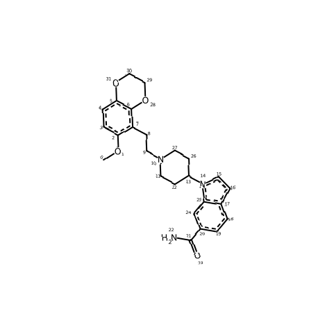 COc1ccc2c(c1CCN1CCC(n3ccc4ccc(C(N)=O)cc43)CC1)OCCO2